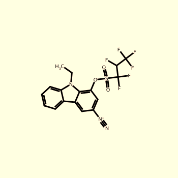 CCn1c2ccccc2c2cc([N+]#N)cc(OS(=O)(=O)C(F)(F)C(F)C(F)(F)F)c21